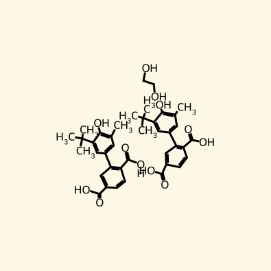 Cc1cc(-c2cc(C(=O)O)ccc2C(=O)O)cc(C(C)(C)C)c1O.Cc1cc(-c2cc(C(=O)O)ccc2C(=O)O)cc(C(C)(C)C)c1O.OCCO